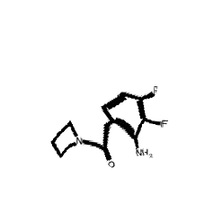 Nc1c(C(=O)N2CCC2)ccc(F)c1F